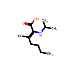 CCCCC(C)=C(NC(C)C)C(=O)O